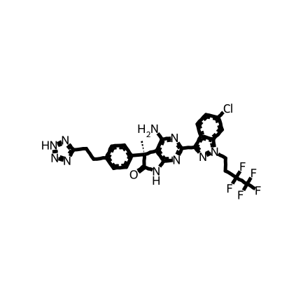 C[C@@]1(c2ccc(CCc3nn[nH]n3)cc2)C(=O)Nc2nc(-c3nn(CCC(F)(F)C(F)(F)F)c4cc(Cl)ccc34)nc(N)c21